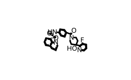 O=C(c1ccc(NS(=O)(=O)c2cccc3cccnc23)cc1)N1CCC(O)(c2ncccc2F)CC1